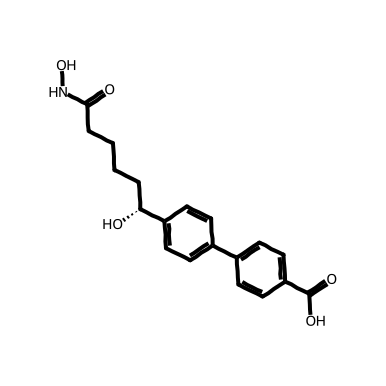 O=C(CCCC[C@@H](O)c1ccc(-c2ccc(C(=O)O)cc2)cc1)NO